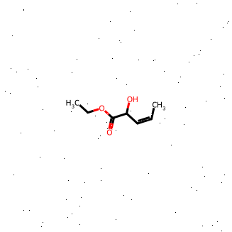 C/C=C\C(O)C(=O)OCC